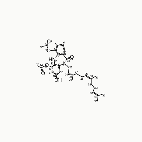 CC(=O)Oc1cccc2c1Nc1c(OC(C)=O)cc(O)cc1N(CC=C(C)CCC=C(C)CCC=C(C)C)C2=O